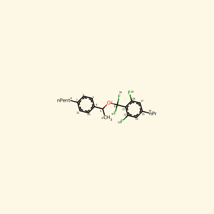 CCCCCc1ccc(C(C)OC(F)(F)c2c(F)cc(CCC)cc2F)cc1